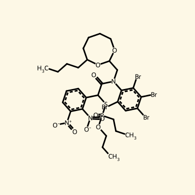 CCCCC1CCCCOC(CN(C(=O)C(SP(=O)(CCC)OCCC)c2cccc([N+](=O)[O-])c2[N+](=O)[O-])c2c(Br)cc(Br)c(Br)c2Br)O1